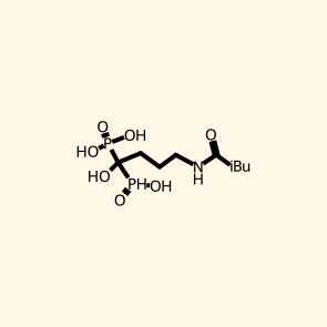 CCC(C)C(=O)NCCCC(O)([PH](=O)O)P(=O)(O)O